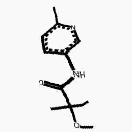 COC(C)(C)C(=O)Nc1ccc(C)nc1